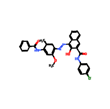 COc1cc(NC(=O)c2ccccc2)c(C)cc1N=Nc1c(O)c(C(=O)Nc2ccc(Cl)cc2)cc2ccccc12